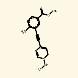 CNN1C=NC(C#Cc2cc(C(=O)OC)ccc2N)=CC1